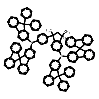 CC1(C)CC(C)(c2ccc(N(c3ccc4c(c3)C(c3ccccc3)(c3ccccc3)c3ccccc3-4)c3ccc4c(c3)C3(c5ccccc5-c5ccccc53)c3ccccc3-4)cc2)c2ccc(N(c3ccc4c(c3)C(c3ccccc3)(c3ccccc3)c3ccccc3-4)c3ccc4c(c3)C3(c5ccccc5-c5ccccc53)c3ccccc3-4)cc21